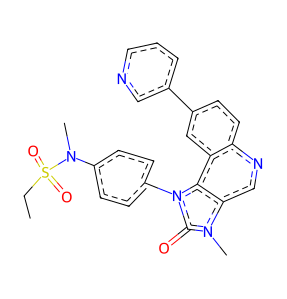 CCS(=O)(=O)N(C)c1ccc(-n2c(=O)n(C)c3cnc4ccc(-c5cccnc5)cc4c32)cc1